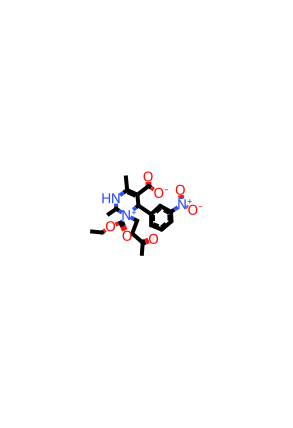 CCOC(=O)[N+]1(CCC(C)=O)C(C)NC(C)=C(C(=O)[O-])C1c1cccc([N+](=O)[O-])c1